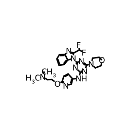 CN(C)CCOc1ccc(Nc2nc(N3CCOCC3)nc(-n3c(C(F)F)nc4ccccc43)n2)cn1